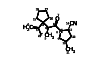 C=C(F)C1(C(C)C(=O)N2C[C@H](C)C[C@H]2C#N)CCCC1